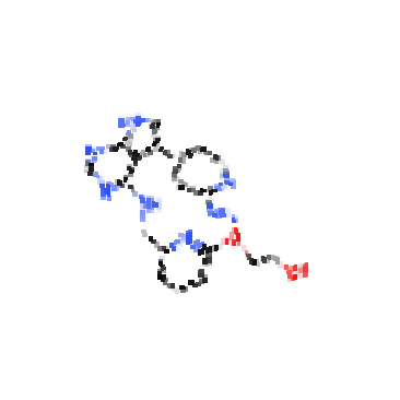 Nc1cc(-c2c[nH]c3ncnc(NCc4cccc(OCCO)n4)c23)ccn1